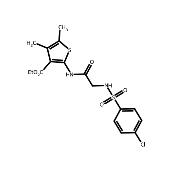 CCOC(=O)c1c(NC(=O)CNS(=O)(=O)c2ccc(Cl)cc2)sc(C)c1C